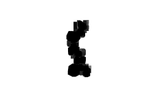 Cn1nnc([C@@H](c2ccccc2)N2CCN(C(=O)c3cc(-c4nc5cc(NC(=O)[C@H]6CC6(F)F)ccc5o4)ccn3)CC2)n1